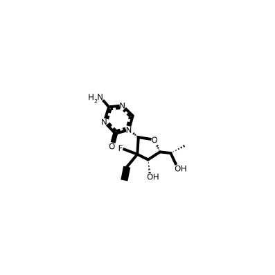 C#CC1(F)[C@@H](O)[C@@H]([C@H](C)O)O[C@H]1n1cnc(N)nc1=O